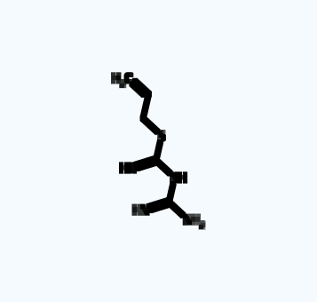 C=CCSC(=N)NC(=N)N